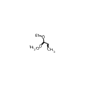 C=CC(=O)OCC.O